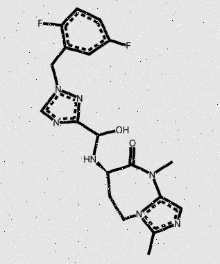 Cc1ncc2n1CC[C@@H](NC(O)c1ncn(Cc3cc(F)ccc3F)n1)C(=O)N2C